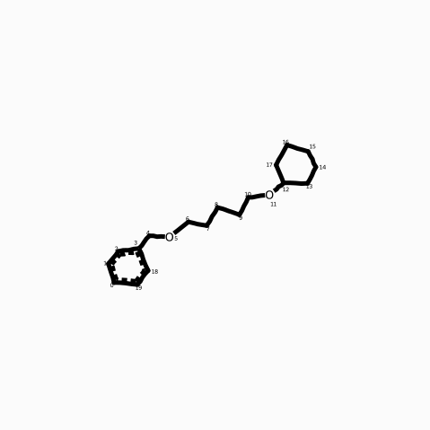 c1ccc(COCCCCCOC2CCCCC2)cc1